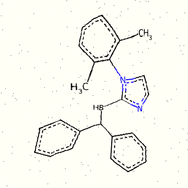 Cc1cccc(C)c1-n1ccnc1BC(c1ccccc1)c1ccccc1